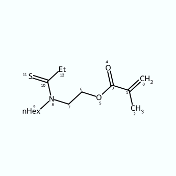 C=C(C)C(=O)OCCN(CCCCCC)C(=S)CC